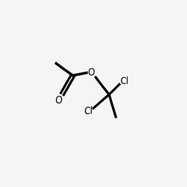 CC(=O)OC(C)(Cl)Cl